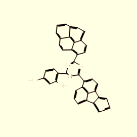 Oc1ccc(-c2nc(-c3ccc4c5c(cccc35)-c3ccccc3-4)nc(-c3ccc4ccc5cccc6ccc3c4c56)n2)c(O)c1